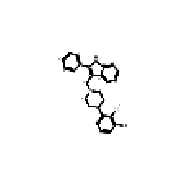 Clc1cccc(C2CCN(Cc3c(-c4ccccc4)[nH]c4ccccc34)CC2)c1Cl